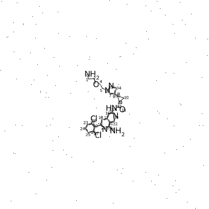 NCCOCCn1cc([C@H]2C[C@@H]2C(=O)Nc2cc3cc(-c4c(Cl)cccc4Cl)nc(N)c3cn2)cn1